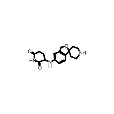 O=C1CCC(Nc2ccc3c(c2)COC32CCNCC2)C(=O)N1